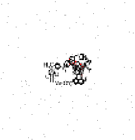 COCOc1cc(-c2ncc3c(N4CC5CCC(C4)N5C(=O)OC(C)(C)C)nc(OCC4(CN5CCN(CC6CCC7(CCN(C(=O)c8ccc(C)c(N9CCC(=O)NC9=O)c8)CC7)OC6)CC5)CC4)nc3c2F)c2c(C#C[Si](C(C)C)(C(C)C)C(C)C)c(F)ccc2c1